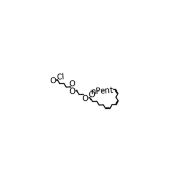 CCCCC/C=C\C/C=C\C/C=C\CCCCC(=O)OCCCOC(=O)CCCC(=O)Cl